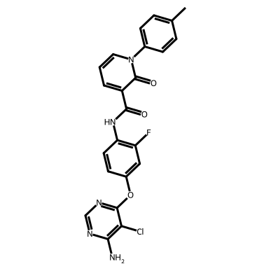 Cc1ccc(-n2cccc(C(=O)Nc3ccc(Oc4ncnc(N)c4Cl)cc3F)c2=O)cc1